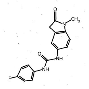 CN1C(=O)Cc2cc(NC(=O)Nc3ccc(F)cc3)ccc21